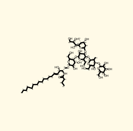 CCCCCCCCCCCCC/C=C/[C@@H](O)[C@H](CO[C@@H]1OC(CO)[C@@H](O[C@@H]2OC(CO)[C@H](O[C@@H]3OC(CO)[C@H](O)[C@H](O[C@@H]4OC(CO)[C@H](O)[C@H](O)C4O)C3C)[C@H](OC3C[C@@H](O)[C@@H](C)C([C@H](O)[C@H](O)CO)O3)C2O)[C@H](O)C1O)NC(=O)CCC